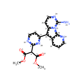 COC(=O)C(C(=O)OC)c1nccc(-c2c3cccnc3n3c(N)nccc23)n1